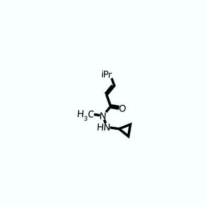 CC(C)C=CC(=O)N(C)NC1CC1